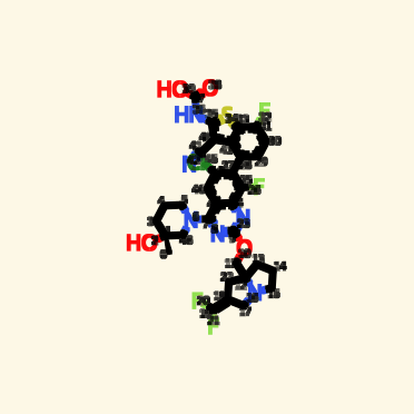 C[C@@]1(O)CCCN(c2nc(OCC34CCCN3CC(=C(F)F)C4)nc3c(F)c(-c4ccc(F)c5sc(NC(=O)O)c(C#N)c45)c(Cl)cc23)C1